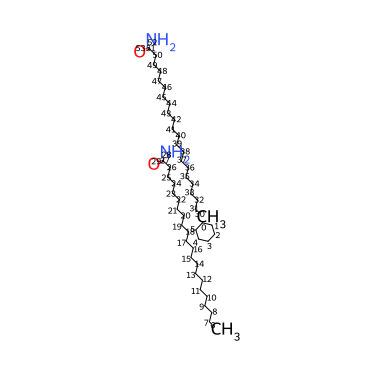 C1CCCCC1.CCCCCCCCCCCCCCCCCCCCCC(N)=O.CCCCCCCCCCCCCCCCCCCCCC(N)=O